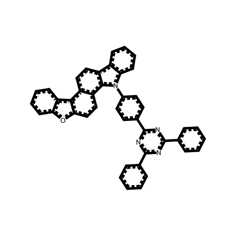 c1ccc(-c2nc(-c3ccccc3)nc(-c3ccc(-n4c5ccccc5c5ccc6c(ccc7oc8ccccc8c76)c54)cc3)n2)cc1